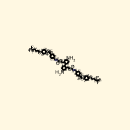 Nc1ccc(-c2ccc(N)cc2COC(=O)/C=C/c2ccc(C(F)(F)Oc3ccc(OCCCC(F)(F)F)cc3)cc2)c(COC(=O)/C=C/c2ccc(C(F)(F)Oc3ccc(OCCCC(F)(F)F)cc3)cc2)c1